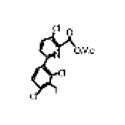 COC(=O)c1nc(-c2ccc(Cl)c(F)c2Cl)ccc1Cl